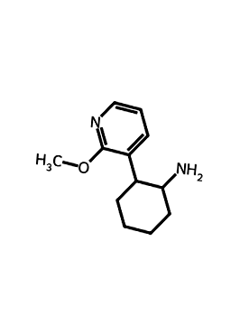 COc1ncccc1C1CCCCC1N